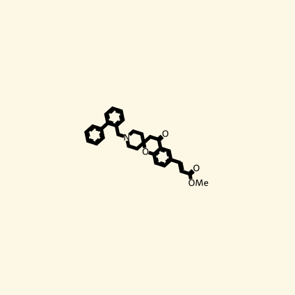 COC(=O)C=Cc1ccc2c(c1)C(=O)CC1(CCN(Cc3ccccc3-c3ccccc3)CC1)O2